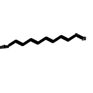 CCCCCCCCCCCCC[CH]SCC